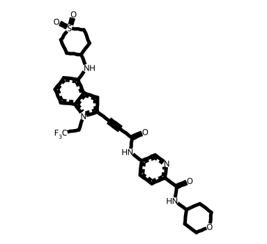 O=C(C#Cc1cc2c(NC3CCS(=O)(=O)CC3)cccc2n1CC(F)(F)F)Nc1ccc(C(=O)NC2CCOCC2)nc1